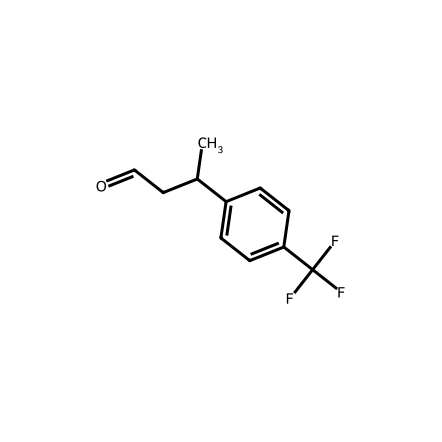 CC(CC=O)c1ccc(C(F)(F)F)cc1